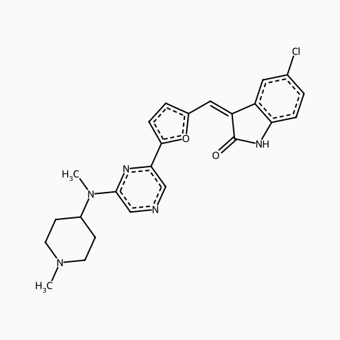 CN1CCC(N(C)c2cncc(-c3ccc(C=C4C(=O)Nc5ccc(Cl)cc54)o3)n2)CC1